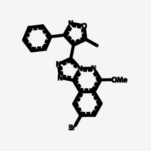 COc1nn2c(-c3c(-c4ccccc4)noc3C)nnc2c2cc(Br)ccc12